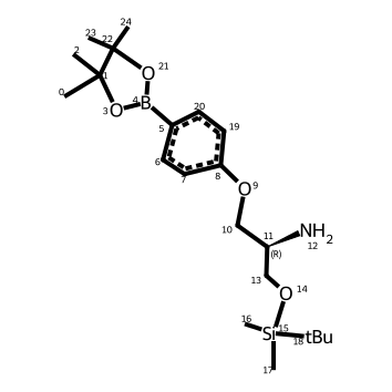 CC1(C)OB(c2ccc(OC[C@@H](N)CO[Si](C)(C)C(C)(C)C)cc2)OC1(C)C